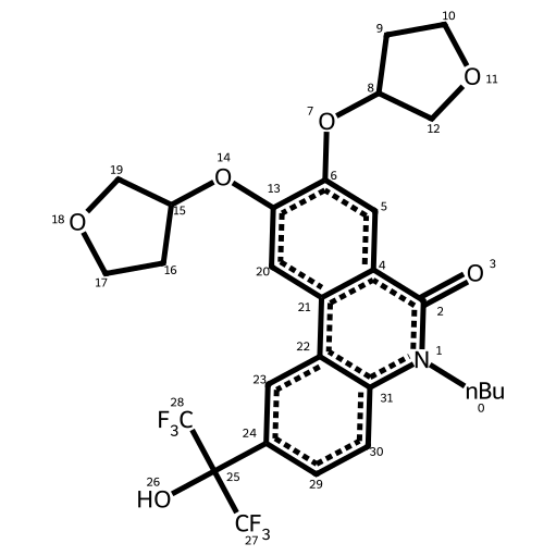 CCCCn1c(=O)c2cc(OC3CCOC3)c(OC3CCOC3)cc2c2cc(C(O)(C(F)(F)F)C(F)(F)F)ccc21